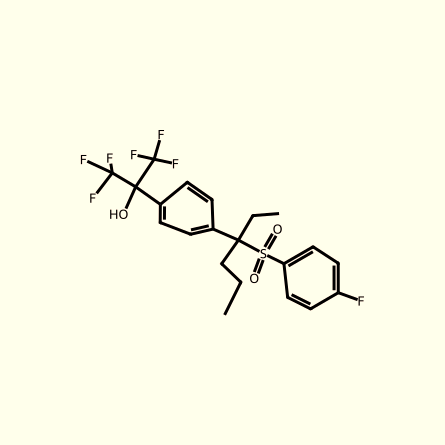 CCCC(CC)(c1ccc(C(O)(C(F)(F)F)C(F)(F)F)cc1)S(=O)(=O)c1ccc(F)cc1